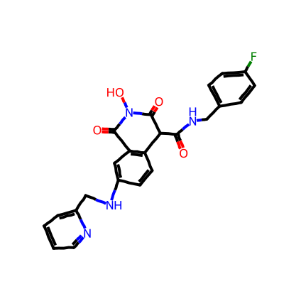 O=C(NCc1ccc(F)cc1)C1C(=O)N(O)C(=O)c2cc(NCc3ccccn3)ccc21